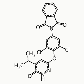 CC(C)c1cc(Oc2c(Cl)cc(N3C(=O)c4ccccc4C3=O)cc2Cl)n[nH]c1=O